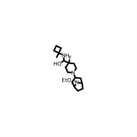 CCOC(=O)N1C2CCC1CC(N1CCC(F)(C(O)NC3(C)CCC3)CC1)C2